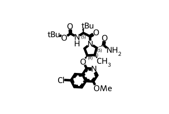 COc1cnc(O[C@H]2CN(C(=O)[C@@H](NC(=O)OC(C)(C)C)C(C)(C)C)[C@H](C(N)=O)[C@@H]2C)c2cc(Cl)ccc12